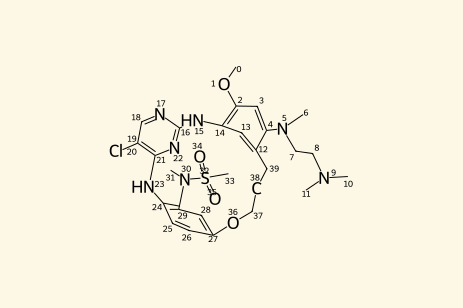 COc1cc(N(C)CCN(C)C)c2cc1Nc1ncc(Cl)c(n1)Nc1ccc(cc1N(C)S(C)(=O)=O)OCCC2